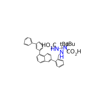 CC(C)(C)N(C(=O)O)C(NCc1ccccc1-c1ccc2c(-c3cccc(-c4ccccc4)c3)cccc2c1)(NC(=O)O)C(C)(C)C